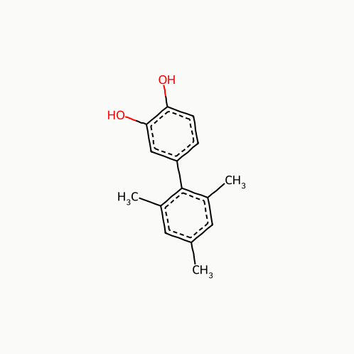 Cc1cc(C)c(-c2ccc(O)c(O)c2)c(C)c1